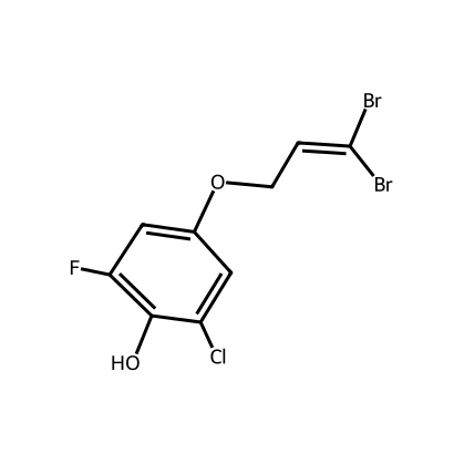 Oc1c(F)cc(OCC=C(Br)Br)cc1Cl